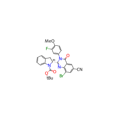 COc1ccc(-n2c([C@H]3Cc4ccccc4N3C(=O)OC(C)(C)C)nc3c(Br)cc(C#N)cc3c2=O)cc1F